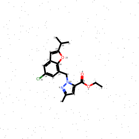 CCOC(=O)c1cc(C)nn1Cc1cc(Cl)cc2cc(C(C)C)oc12